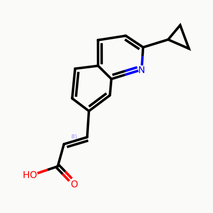 O=C(O)/C=C/c1ccc2ccc(C3CC3)nc2c1